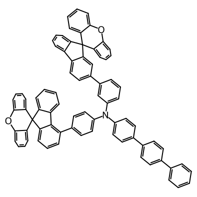 c1ccc(-c2ccc(-c3ccc(N(c4ccc(-c5cccc6c5-c5ccccc5C65c6ccccc6Oc6ccccc65)cc4)c4cccc(-c5ccc6c(c5)C5(c7ccccc7Oc7ccccc75)c5ccccc5-6)c4)cc3)cc2)cc1